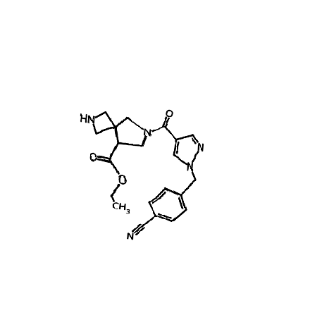 CCOC(=O)C1CN(C(=O)c2cnn(Cc3ccc(C#N)cc3)c2)CC12CNC2